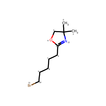 CC1(C)COC(CCCCCBr)=N1